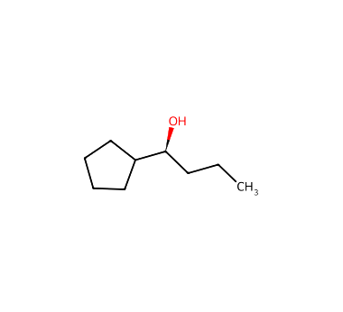 CCC[C@H](O)C1CCCC1